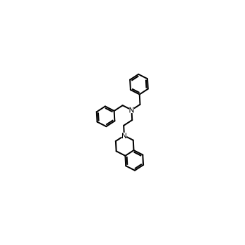 c1ccc(CN(CCN2CCc3ccccc3C2)Cc2ccccc2)cc1